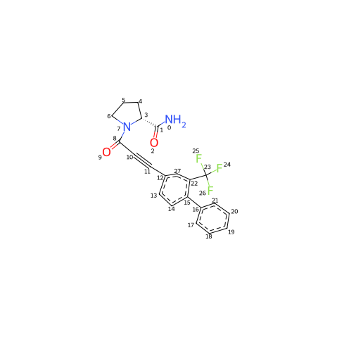 NC(=O)[C@H]1CCCN1C(=O)C#Cc1ccc(-c2ccccc2)c(C(F)(F)F)c1